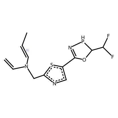 C=CN(/C=C/C)Cc1ncc(C2=NPC(C(F)F)O2)s1